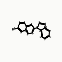 Brc1ccc2cc(C3C=Cc4ccccc43)ccc2c1